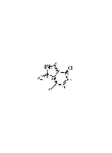 CC1=C2C(=O)NC=C2C(=O)C=C1